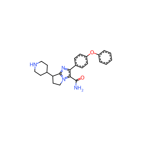 NC(=O)c1c(-c2ccc(Oc3ccccc3)cc2)nc2n1CCC2C1CCNCC1